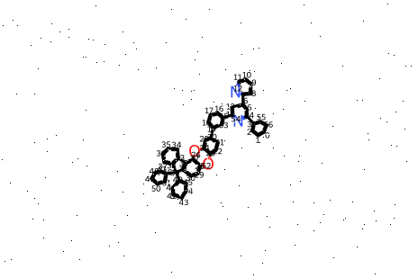 c1ccc(-c2cc(-c3ccccn3)cc(-c3cccc(-c4ccc5c(c4)Oc4c(ccc6c4-c4ccccc4C6(c4ccccc4)c4ccccc4)O5)c3)n2)cc1